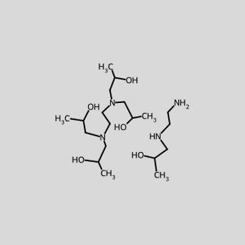 CC(O)CN(CCN(CC(C)O)CC(C)O)CC(C)O.CC(O)CNCCN